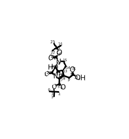 CC(C)(C)OC(=O)C1=C(CC(=O)O)C2CCN(C(=O)OC(C)(C)C)[C@@H]3C(=O)N1[C@H]23